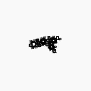 COc1ccc(C2(c3ccc(Cl)cc3)Oc3ccc(S(=O)(=O)N4CCOCC4)cc3O2)c(F)c1